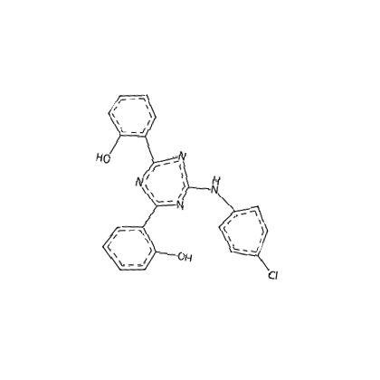 Oc1ccccc1-c1nc(Nc2ccc(Cl)cc2)nc(-c2ccccc2O)n1